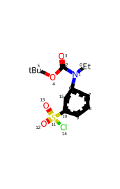 CCN(C(=O)OC(C)(C)C)c1cccc(S(=O)(=O)Cl)c1